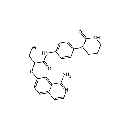 CC(C)CC(Oc1ccc2ccnc(N)c2c1)C(=O)Nc1ccc(N2CCCNC2=O)cc1